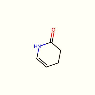 O=C1CCC=CN1